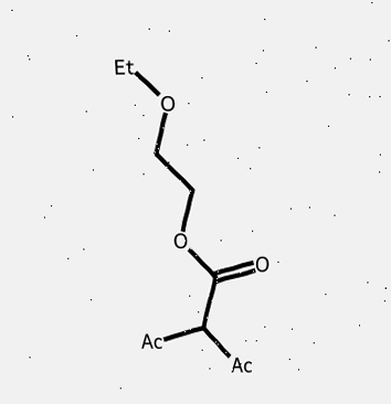 CCOCCOC(=O)C(C(C)=O)C(C)=O